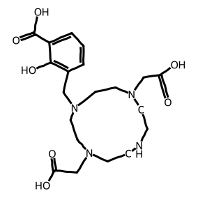 O=C(O)CN1CCNCCN(CC(=O)O)CCN(Cc2cccc(C(=O)O)c2O)CC1